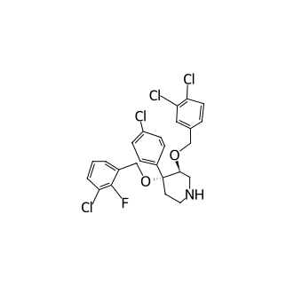 Fc1c(Cl)cccc1CO[C@@]1(c2ccc(Cl)cc2)CCNC[C@@H]1OCc1ccc(Cl)c(Cl)c1